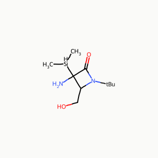 C[SiH](C)C1(N)C(=O)N(C(C)(C)C)C1CO